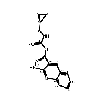 O=C(NCC1CC1)Oc1n[nH]c2nc3ccccc3cc12